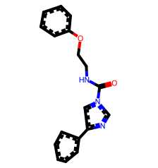 O=C(NCCOc1ccccc1)n1cnc(-c2ccccc2)c1